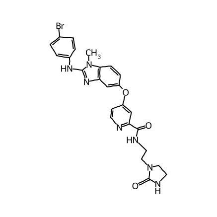 Cn1c(Nc2ccc(Br)cc2)nc2cc(Oc3ccnc(C(=O)NCCN4CCNC4=O)c3)ccc21